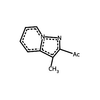 CC(=O)c1nn2ccccc2c1C